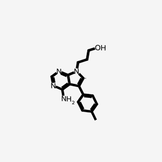 Cc1ccc(-c2[c]n(CCCO)c3ncnc(N)c23)cc1